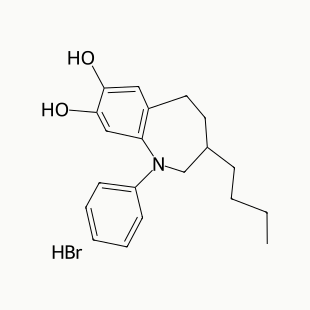 Br.CCCCC1CCc2cc(O)c(O)cc2N(c2ccccc2)C1